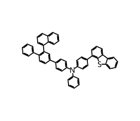 c1ccc(-c2ccc(-c3ccc(N(c4ccccc4)c4ccc(-c5cccc6c5sc5ccccc56)cc4)cc3)cc2-c2cccc3ccccc23)cc1